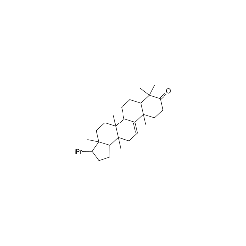 CC(C)C1CCC2C1(C)CCC1(C)C3CCC4C(C)(C)C(=O)CCC4(C)C3=CCC21C